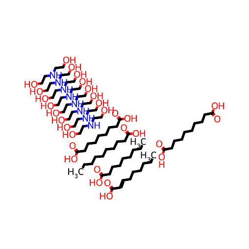 CCCCCCC=CC(=O)O.CCCCCCCCC(=O)O.CCCCCCCCCC(=O)O.O=C(O)CCCCCCCC(=O)O.O=C(O)CCCCCCCCC(=O)O.OCCNCCO.OCCNCCO.OCCNCCO.OCCNCCO.OCCNCCO.OCCNCCO.OCCNCCO.OCCNCCO